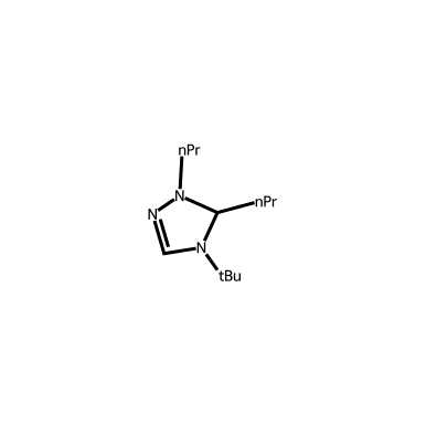 CCCC1N(CCC)N=CN1C(C)(C)C